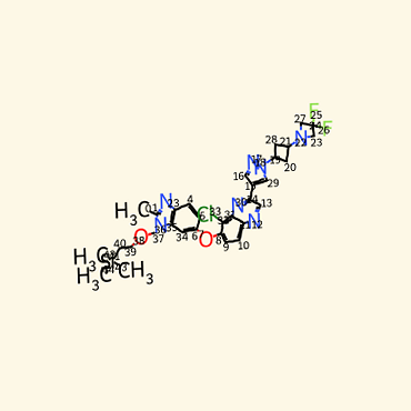 Cc1nc2ccc(Oc3ccc4ncc(-c5cnn(C6CC(N7CC(F)(F)C7)C6)c5)nc4c3Cl)cc2n1COCC[Si](C)(C)C